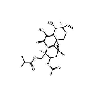 C=C[C@@]1(C)CC[C@@]23OC[C@@H]4C[C@@H](OC(C)=O)[C@@](C)(COC(=O)C(C)C)C(=C42)C(=O)C(O)=C3[C@H]1O